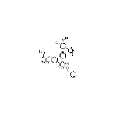 CCOc1cc(-c2cn(C)nc2C)c(N2CCC([C@@H](NC(=O)OCc3ccccc3)C(=O)N3CCN(Cc4c(F)cccc4OCC)CC3)CC2)cc1Cl